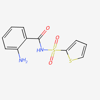 Nc1ccccc1C(=O)NS(=O)(=O)c1cccs1